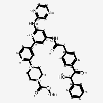 CC(C)(C)OC(=O)N1CCN(c2cc(-c3cc(NC(=O)Cc4ccc(C(=O)C(O)c5ccccc5)cc4)cc(Nc4cnccn4)n3)ccn2)CC1